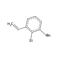 C=[C]c1cccc(C(C)(C)C)c1CC